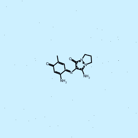 CC1=CC(=Nc2c(N)n3n(c2=O)CCC3)C(N)=CC1=O